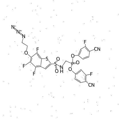 N#Cc1ccc(OP(=O)(CNS(=O)(=O)c2cc3c(F)c(F)c(OCCN=[N+]=[N-])c(F)c3s2)Oc2ccc(C#N)c(F)c2)cc1F